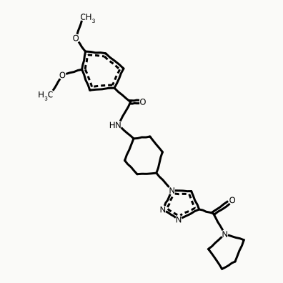 COc1ccc(C(=O)NC2CCC(n3cc(C(=O)N4CCCC4)nn3)CC2)cc1OC